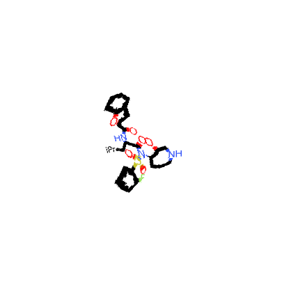 CC(C)CC(NC(=O)c1cc2ccccc2o1)C(=O)N([C@H]1CCCNCC1=O)S(=O)(=O)c1ccccc1F